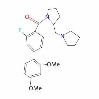 COc1ccc(-c2ccc(C(=O)N3CCCC3CN3CCCC3)c(F)c2)c(OC)c1